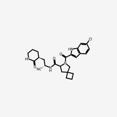 N#C[C@H](C[C@@H]1CCCNC1=O)NC(=O)C1CC2(CCC2)CN1C(=O)c1cc2ccc(Cl)cc2[nH]1